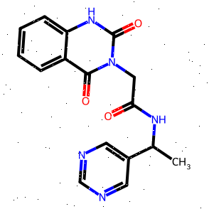 CC(NC(=O)Cn1c(=O)[nH]c2ccccc2c1=O)c1cncnc1